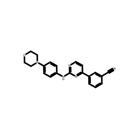 N#Cc1cccc(-c2ccnc(Nc3ccc(N4CCOCC4)cc3)n2)c1